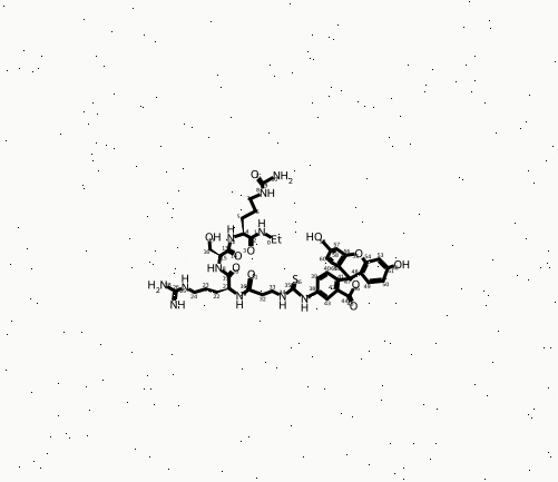 CCNC(=O)[C@H](CCCNC(N)=O)NC(=O)[C@H](CO)NC(=O)[C@H](CCCNC(=N)N)NC(=O)CCNC(=S)Nc1ccc2c(c1)C(=O)OC21c2ccc(O)cc2Oc2cc(O)ccc21